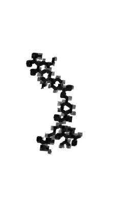 CCn1cc(C(=O)O)c(=O)c2cc(F)c(N3CCN(C(=O)OCc4ccc(NC(=O)[C@H](CCCNC(N)=O)NC(=O)C(NC(C)=O)C(C)C)cc4)CC3)cc21